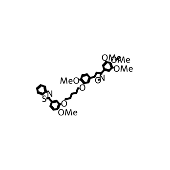 COc1ccc(-c2nc3ccccc3s2)cc1OCCCCCOc1cc(C2CC(c3cc(OC)c(OC)c(OC)c3)=NO2)ccc1OC